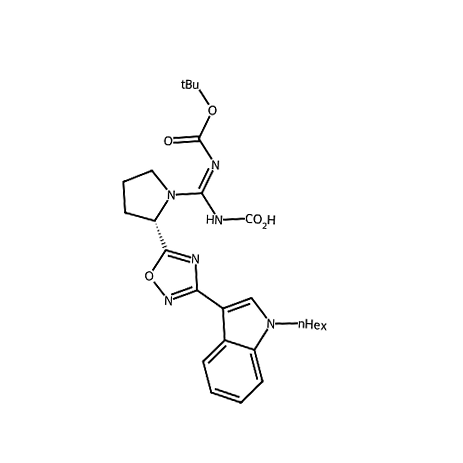 CCCCCCn1cc(-c2noc([C@@H]3CCCN3/C(=N\C(=O)OC(C)(C)C)NC(=O)O)n2)c2ccccc21